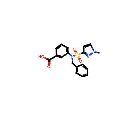 Cn1ccc(S(=O)(=O)N(Cc2ccccc2)c2cccc(C(=O)O)c2)n1